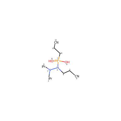 CC(C)N(C(C)C)N(CCC#N)[PH](O)(O)CCC#N